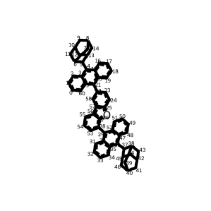 c1ccc2c(C3C4CC5CC(C4)CC3C5)c3ccccc3c(-c3ccc4oc5c(-c6c7ccccc7c(C7C8CC9CC(C8)CC7C9)c7ccccc67)cccc5c4c3)c2c1